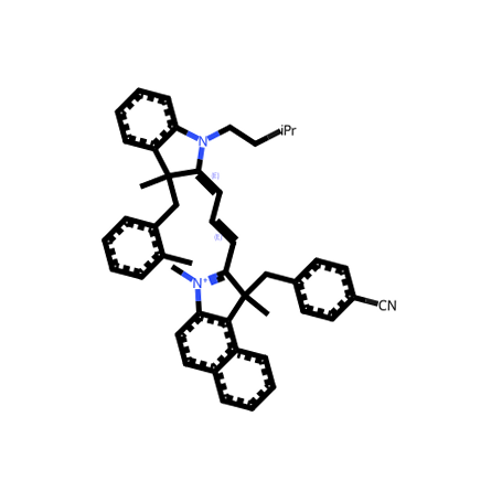 Cc1ccccc1CC1(C)/C(=C\C=C\C2=[N+](C)c3ccc4ccccc4c3C2(C)Cc2ccc(C#N)cc2)N(CCC(C)C)c2ccccc21